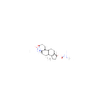 C[C@H]1C[C@H]2N(C)C(=O)CC[C@]2(C)[C@H]2CC[C@]3(C)[C@@H](OC(=O)NC(C)(C)C)CC[C@H]3[C@H]12